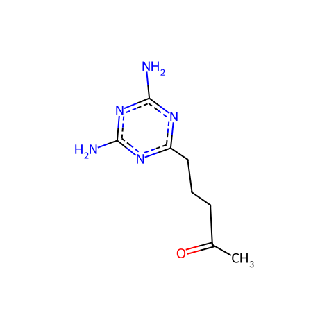 CC(=O)CCCc1nc(N)nc(N)n1